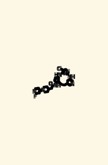 O=C(CC1CCN(c2ccnc(F)c2)CC1)Nc1ccc2cc1CCC1C=NC=C(C1)Nc1ncc(Cl)c(n1)N2